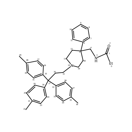 CCC(=O)NCC1(c2ccccc2)CCN(CCC(c2ccc(C)cc2)(c2ccc(C)cc2)c2ccc(C)cc2)CC1